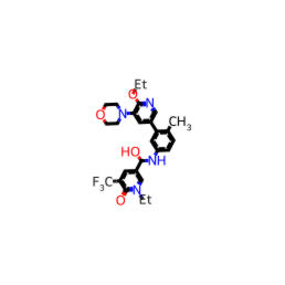 CCOc1ncc(-c2cc(NC(O)c3cc(C(F)(F)F)c(=O)n(CC)c3)ccc2C)cc1N1CCOCC1